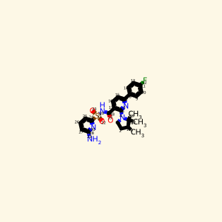 CC1CCN(c2nc(-c3ccc(F)cc3)ccc2C(=O)NS(=O)(=O)c2cccc(N)n2)C1(C)C